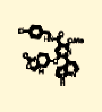 COc1nc(-c2ccnc3[nH]ccc23)c(O[C@H]2CCN3C(=O)OC[C@@H]3C2)cc1C(=O)NCc1ccc(Cl)cc1